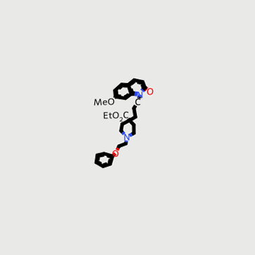 CCOC(=O)C1(CCCn2c(=O)ccc3ccc(OC)cc32)CCN(CCOc2ccccc2)CC1